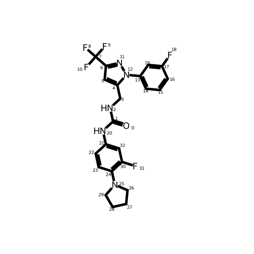 O=C(NCc1cc(C(F)(F)F)nn1-c1cccc(F)c1)Nc1ccc(N2CCCC2)c(F)c1